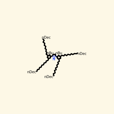 CCCCCCCCCCCCCCCCCCCCCc1cc(CCCCCCCCCCCCCCCCCCCCC)cc(C2=C(CCCC)C(CCCC)=C(c3cc(CCCCCCCCCCCCCCCCCCCCC)cc(CCCCCCCCCCCCCCCCCCCCC)c3)[N+]2=[N-])c1